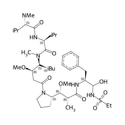 CC[C@H](C)[C@@H]([C@@H](CC(=O)N1CCC[C@H]1[C@H](OC)[C@@H](C)C(=O)N[C@@H](Cc1ccccc1)C(O)NS(=O)(=O)CC)OC)N(C)C(=O)[C@@H](NC(=O)[C@@H](NC)C(C)C)C(C)C